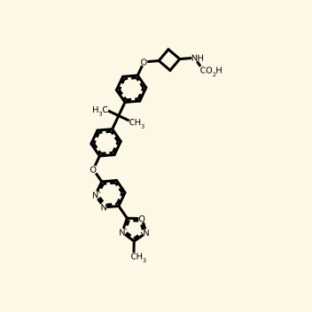 Cc1noc(-c2ccc(Oc3ccc(C(C)(C)c4ccc(OC5CC(NC(=O)O)C5)cc4)cc3)nn2)n1